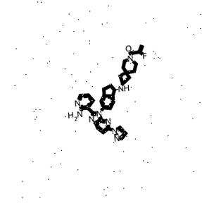 C=C(F)C(=O)N1CCC2(CC1)CC(N[C@H]1CCc3cc(-n4c(-c5cccnc5N)nc5ccc(-n6cccn6)nc54)ccc31)C2